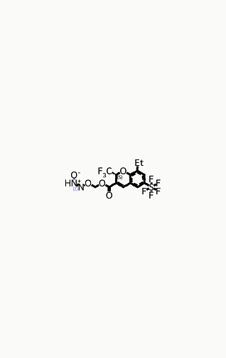 CCc1cc(S(F)(F)(F)(F)F)cc2c1O[C@H](C(F)(F)F)C(C(=O)OCO/N=[NH+]\[O-])=C2